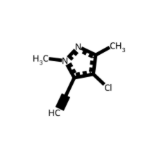 C#Cc1c(Cl)c(C)nn1C